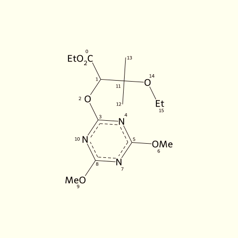 CCOC(=O)C(Oc1nc(OC)nc(OC)n1)C(C)(C)OCC